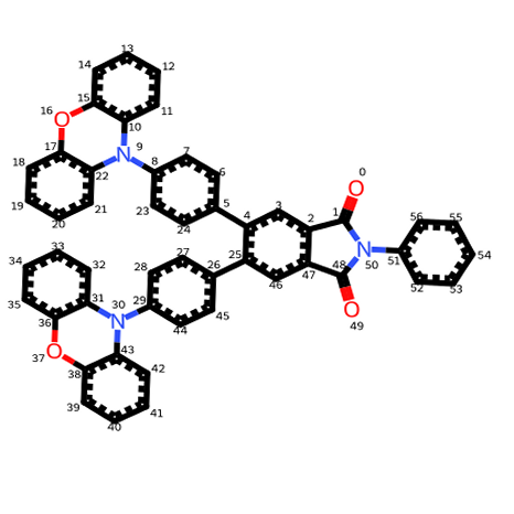 O=C1c2cc(-c3ccc(N4c5ccccc5Oc5ccccc54)cc3)c(-c3ccc(N4c5ccccc5Oc5ccccc54)cc3)cc2C(=O)N1c1ccccc1